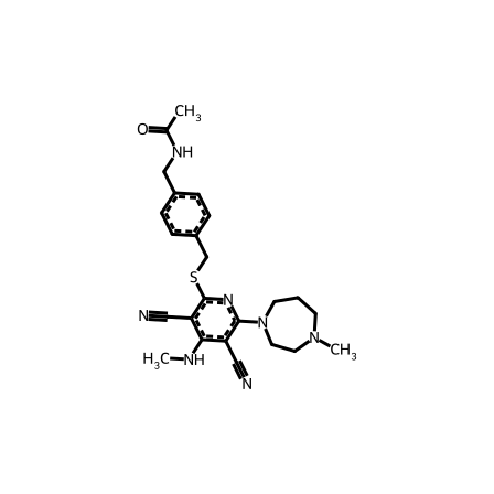 CNc1c(C#N)c(SCc2ccc(CNC(C)=O)cc2)nc(N2CCCN(C)CC2)c1C#N